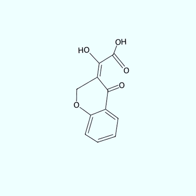 O=C(O)C(O)=C1COc2ccccc2C1=O